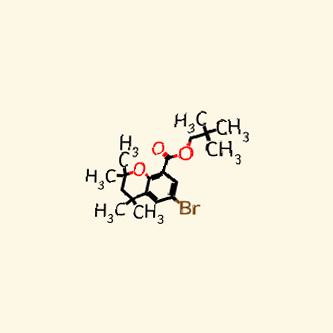 CC(C)(C)COC(=O)c1cc(Br)cc2c1OC(C)(C)CC2(C)C